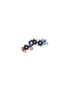 Cc1nc2cc(-c3ccc4c(c3)CN(C(=O)c3ccc5c(c3)OCO5)CCC4)ccc2[nH]1